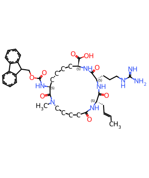 CC=CC[C@@H]1NC(=O)CCCCN(C)C(=O)[C@@H](NC(=O)OCC2c3ccccc3-c3ccccc32)CCCC[C@@H](C(=O)O)NC(=O)[C@H](CCCNC(=N)N)NC1=O